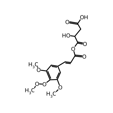 COOc1c(OC)cc(C=CC(=O)OC(=O)C(O)CC(=O)O)cc1OC